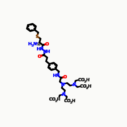 N[C@H](CSCc1ccccc1)C(=O)NNC(=O)CCc1ccc(CNC(=O)CN(CCN(CC(=O)O)CC(=O)O)CCN(CC(=O)O)CC(=O)O)cc1